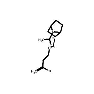 C=C(O)CCOC[C@H]1CC2CCC1N2C(C)C